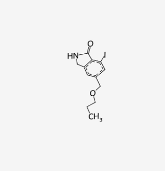 CCCOCc1cc(I)c2c(c1)CNC2=O